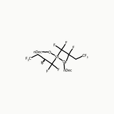 CCCCCCCCCC[O][Sn]([O]CCCCCCCCCC)([C](F)(F)C(F)(F)CC(F)(F)F)[C](F)(F)C(F)(F)CC(F)(F)F